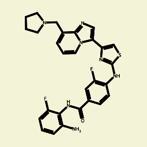 Nc1cccc(F)c1NC(=O)c1ccc(Nc2nc(-c3cnc4c(CN5CCCC5)cccn34)cs2)c(F)c1